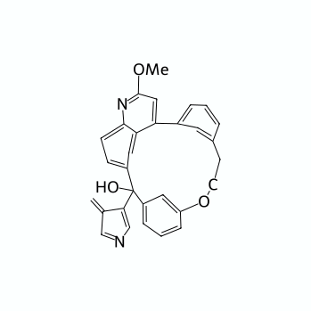 C=C1C=NC=C1C1(O)c2cccc(c2)OCCc2cccc(c2)-c2cc(OC)nc3ccc1cc23